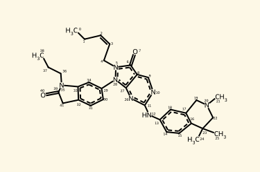 CC/C=C\Cn1c(=O)c2cnc(Nc3ccc4c(c3)CN(C)CC4(C)C)nc2n1-c1ccc2c(c1)N(CCC)C(=O)C2